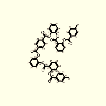 Cc1ccc(C(=O)Oc2ccccc2C(=O)Oc2ccccc2OC(=O)c2ccc(C(=O)Oc3ccccc3OC(=O)c3ccccc3OC(=O)c3ccc(C)cc3)cc2)cc1